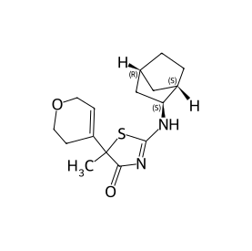 CC1(C2=CCOCC2)SC(N[C@H]2C[C@@H]3CC[C@H]2C3)=NC1=O